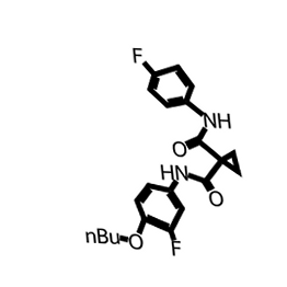 CCCCOc1ccc(NC(=O)C2(C(=O)Nc3ccc(F)cc3)CC2)cc1F